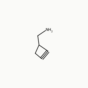 NCC1C#CC1